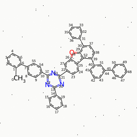 Cc1ccccc1-c1ccc(-c2nc(-c3ccccc3)nc(-c3ccc4c(c3)oc3c(-c5ccccc5)ccc(-c5cccc(-c6ccccc6)c5)c34)n2)cc1